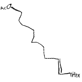 CCCCCCC=CCCCCCCOC(C)=O